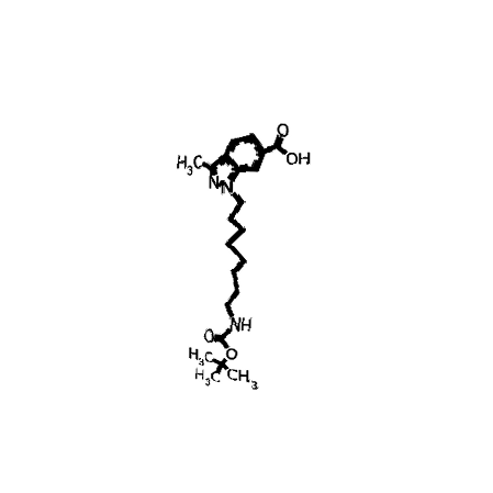 Cc1nn(CCCCCCCCNC(=O)OC(C)(C)C)c2cc(C(=O)O)ccc12